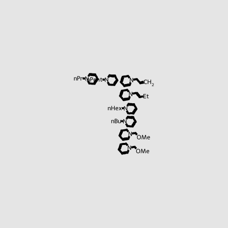 C=CCN1C=CC=CC1.CCC=CN1C=CC=CC1.CCCCCCN1C=CC=CC1.CCCCCN1C=CC=CC1.CCCCN1C=CC=CC1.CCCN1C=CC=CC1.COCN1C=CC=CC1.COCN1C=CC=CC1